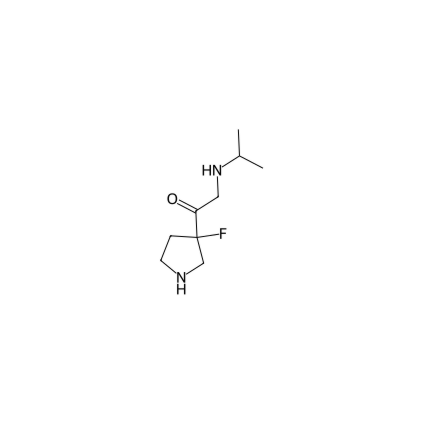 CC(C)NCC(=O)C1(F)CCNC1